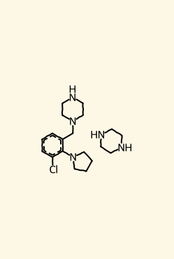 C1CNCCN1.Clc1cccc(CN2CCNCC2)c1N1CCCC1